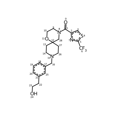 O=C(c1csc(C(F)(F)F)n1)N1CCOC2(CCN(Cc3cccc(CCO)c3)CC2)C1